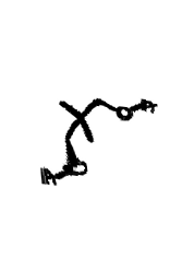 CC(C)OCC(C)(C)COC(C)C